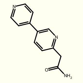 NC(=O)Cc1ccc(-c2ccncc2)cn1